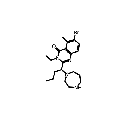 CCCC(c1nc2ccc(Br)c(C)c2c(=O)n1CC)N1CCCNCC1